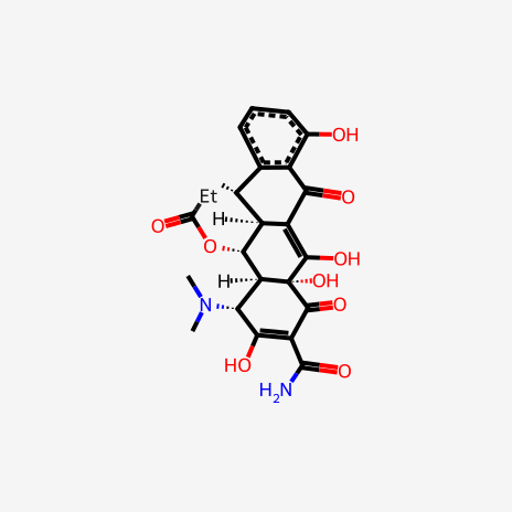 CCC(=O)O[C@@H]1[C@@H]2C(=C(O)[C@@]3(O)C(=O)C(C(N)=O)=C(O)[C@H](N(C)C)[C@@H]13)C(=O)c1c(O)cccc1[C@H]2C